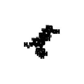 [2H]C([2H])([2H])OC(=O)Cc1cc(N)ccc1S(=O)(=O)Nc1cc2c(cc1F)COB2O